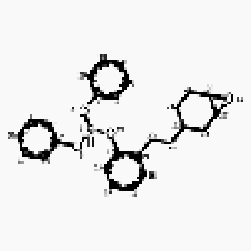 c1ccc(O[SiH](Oc2ccccc2)Oc2ccccc2CCC2CCC3OC3C2)cc1